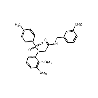 COc1cccc(N(CC(=O)NCc2cccc(C=O)c2)S(=O)(=O)c2ccc(C)cc2)c1OC